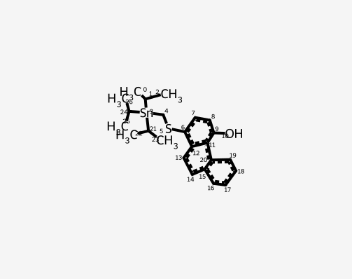 C[CH](C)[Sn]([CH2]Sc1ccc(O)c2c1ccc1ccccc12)([CH](C)C)[CH](C)C